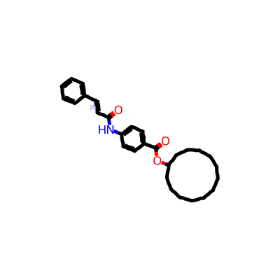 O=C(/C=C/c1ccccc1)Nc1ccc(C(=O)OC2CCCCCCCCCCCC2)cc1